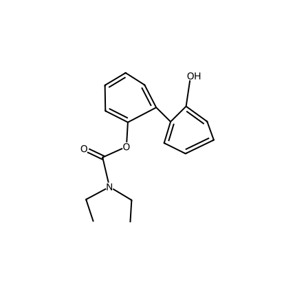 CCN(CC)C(=O)Oc1ccccc1-c1ccccc1O